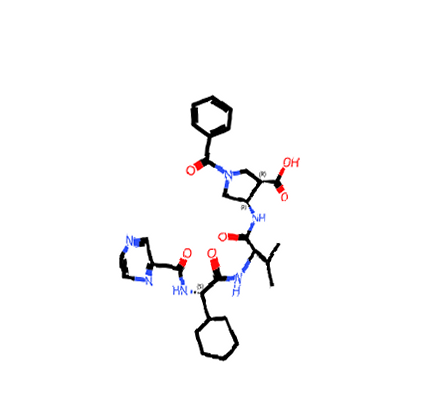 CC(C)C(NC(=O)[C@@H](NC(=O)c1cnccn1)C1CCCCC1)C(=O)N[C@H]1CN(C(=O)c2ccccc2)C[C@H]1C(=O)O